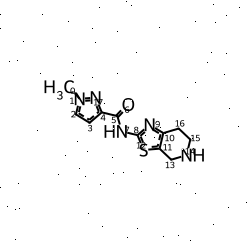 Cn1ccc(C(=O)Nc2nc3c(s2)CNCC3)n1